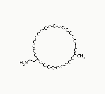 CC1=C=CCCCCCCCCCCCCCCCCC(CCN)CCCCCCCCC1